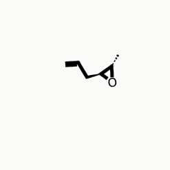 C=CC[C@@H]1O[C@H]1C